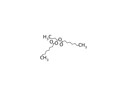 CCCCCCCC(=O)OC(CCC)OC(=O)CCCCCCC